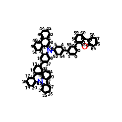 c1cc(-c2ccc(N(c3ccc(-c4ccc(-c5ccccc5-n5c6ccccc6c6ccccc65)cc4)cc3)c3cc4ccccc4c4ccccc34)cc2)cc(-c2cccc3c2oc2ccccc23)c1